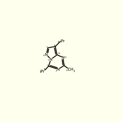 Cc1nc(C(C)C)n2ncc(C(C)C)c2n1